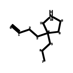 C=CCCC1(CCC)CCNC1